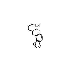 c1cc2c(c3c1CC1NCCCC1C3)OCO2